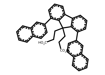 O=C(O)CCC1(CCC(=O)O)c2c(-c3ccc4ccccc4c3)cccc2-c2cccc(-c3ccc4ccccc4c3)c21